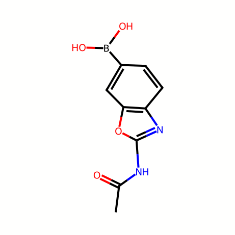 CC(=O)Nc1nc2ccc(B(O)O)cc2o1